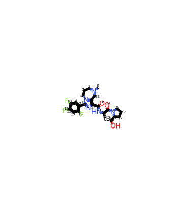 CN1CCCn2c(-c3cc(F)c(F)cc3F)nc(C(=O)NC(C(=O)N3CCCC3CO)C(C)(C)C)c2C1